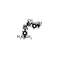 Cc1cc(-c2nc(-c3ccc(C(C)(C)F)cc3)no2)nn1Cc1cccc(C2(O)CC2)c1